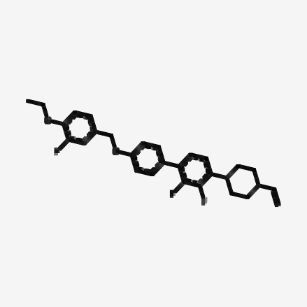 C=CC1CCC(c2ccc(-c3ccc(OCc4ccc(OCC)c(F)c4)cc3)c(F)c2F)CC1